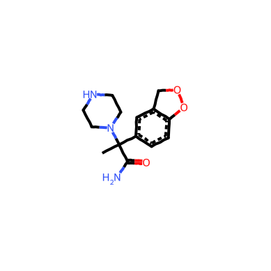 CC(C(N)=O)(c1ccc2c(c1)COO2)N1CCNCC1